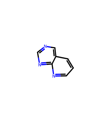 [c]1ccnc2ncncc12